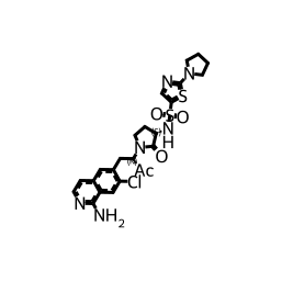 CC(=O)[C@@H](Cc1cc2ccnc(N)c2cc1Cl)N1CC[C@H](NS(=O)(=O)c2cnc(N3CCCC3)s2)C1=O